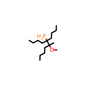 CCCCC(P)(CCCC)C(C)(CCCC)OC